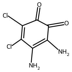 NC1=C(N)C(Cl)=C(Cl)C(=O)C1=O